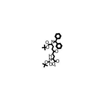 COC(=O)C(CCC(=O)CCC(N=C(c1ccccc1)c1ccccc1)C(=O)OC(C)(C)C)NC(=O)OC(C)(C)C